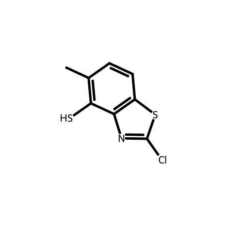 Cc1ccc2sc(Cl)nc2c1S